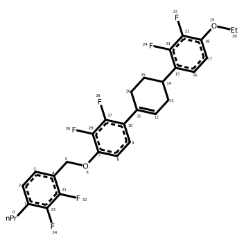 CCCc1ccc(COc2ccc(C3=CCC(c4ccc(OCC)c(F)c4F)CC3)c(F)c2F)c(F)c1F